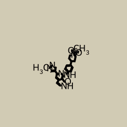 Cn1cc(-c2cc3cc[nH]c(=O)c3c(Nc3ccc(C4CCN(S(C)(=O)=O)CC4)cc3)n2)cn1